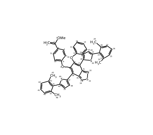 C=C(OC)c1ccc(Oc2c(Oc3ccccc3)c(-c3ccc(-c4c(C)cccc4C)s3)c3nsnc3c2-c2ccc(-c3c(C)cccc3C)s2)cc1